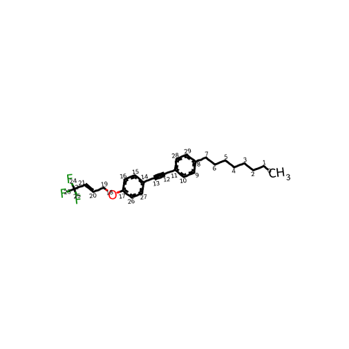 CCCCCCCCc1ccc(C#Cc2ccc(OCC=CC(F)(F)F)cc2)cc1